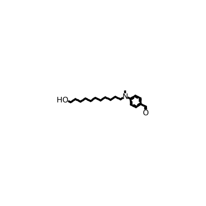 CN(CCCCCCCCCCCO)c1ccc(C=O)cc1